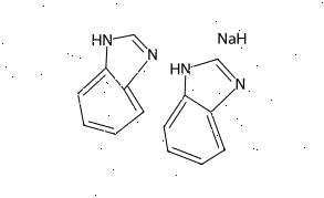 [NaH].c1ccc2[nH]cnc2c1.c1ccc2[nH]cnc2c1